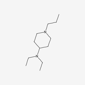 CCCN1CCC(N(CC)CC)CC1